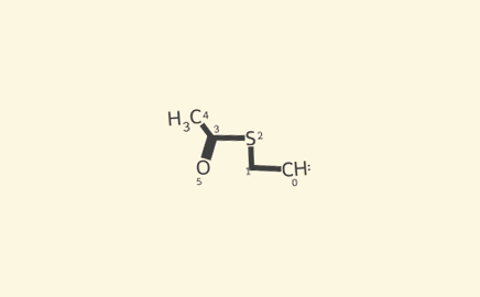 [CH]CSC(C)=O